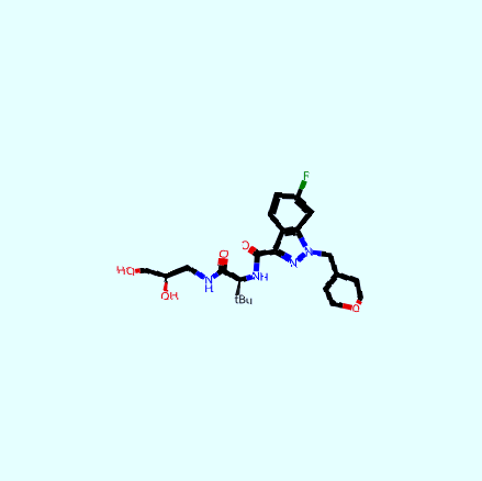 CC(C)(C)[C@H](NC(=O)c1nn(CC2CCOCC2)c2cc(F)ccc12)C(=O)NC[C@@H](O)CO